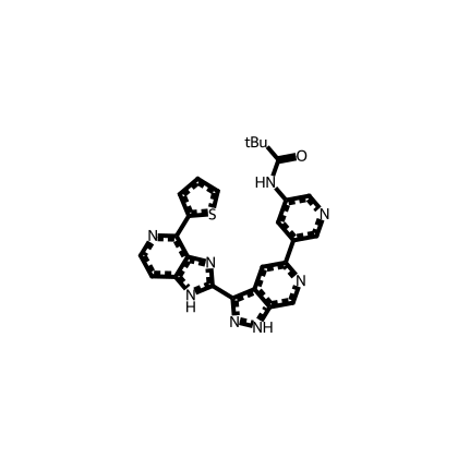 CC(C)(C)C(=O)Nc1cncc(-c2cc3c(-c4nc5c(-c6cccs6)nccc5[nH]4)n[nH]c3cn2)c1